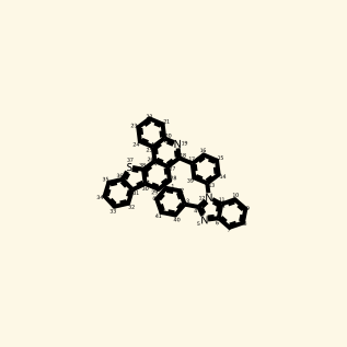 c1ccc(-c2nc3ccccc3n2-c2cccc(-c3nc4ccccc4c4c3ccc3c5ccccc5sc34)c2)cc1